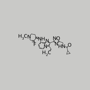 C=Cc1c(-c2noc(CNC(=O)C3CC3)n2)nc2c(N[C@@H]3CCN(C)C[C@@H]3F)cccn12